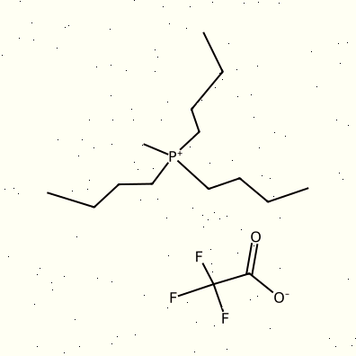 CCCC[P+](C)(CCCC)CCCC.O=C([O-])C(F)(F)F